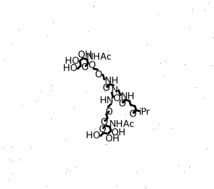 CC(=O)NC1C(OCCOCCNC(=O)CN(CCNC(=O)CCCC(=O)C(C)C)CC(=O)NCCOCCOC2OC(CO)C(O)C(O)C2NC(C)=O)OC(CO)C(O)C1O